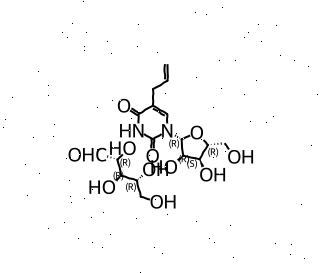 C=CCc1cn([C@@H]2O[C@H](CO)[C@@H](O)[C@H]2O)c(=O)[nH]c1=O.O=C[C@H](O)[C@H](O)[C@H](O)CO